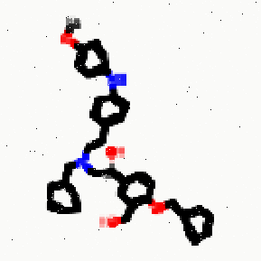 CCOc1ccc(Nc2ccc(CCN(Cc3ccccc3)C[C@H](O)c3ccc(OCc4ccccc4)c(CO)c3)cc2)cc1